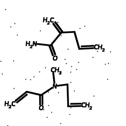 C=CCC(=C)C(N)=O.C=CCN(C)C(=O)C=C